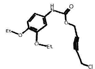 CCOc1ccc(NC(=O)OCC#CCCl)cc1OCC